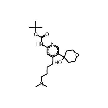 CN(C)CCCCc1cc(NC(=O)OC(C)(C)C)ncc1C1(O)CCOCC1